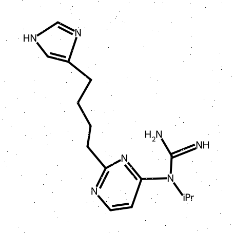 CC(C)N(C(=N)N)c1ccnc(CCCCc2c[nH]cn2)n1